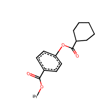 CC(C)OC(=O)c1ccc(OC(=O)C2CCCCC2)cc1